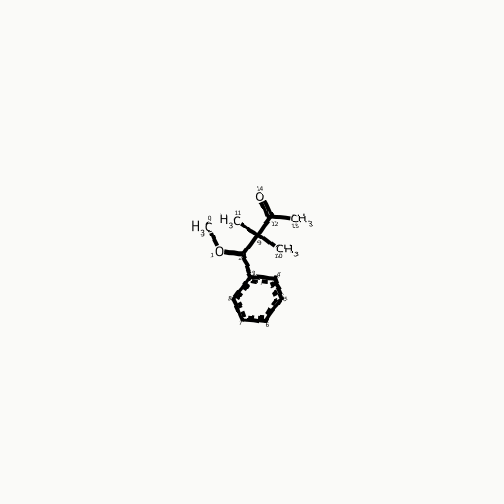 COC(c1ccccc1)C(C)(C)C(C)=O